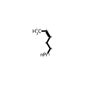 C/[C]=C\CCCCC